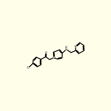 O=C(C[n+]1ccc(NCc2ccccn2)cc1)c1ccc(Cl)cc1